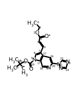 CCOC(=O)C=Cc1cn(C(=O)OC(C)(C)C)c2cnc(-n3cncn3)cc12